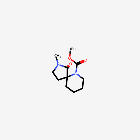 CN1CCC2(CCCCN2C(=O)OC(C)(C)C)C1=O